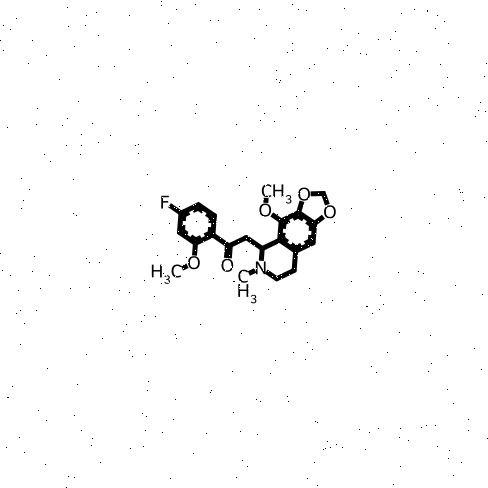 COc1cc(F)ccc1C(=O)CC1c2c(cc3c(c2OC)OCO3)CCN1C